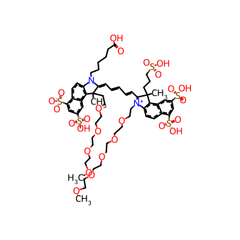 COCCOCCOCCOCCOCC[N+]1=C(/C=C/C=C/C=C2/N(CCCCCC(=O)O)c3ccc4c(S(=O)(=O)[O-])cc(S(=O)(=O)O)cc4c3C2(C)CCOCCOCCOCCOC)C(C)(CCCS(=O)(=O)O)c2c1ccc1c(S(=O)(=O)O)cc(S(=O)(=O)O)cc21